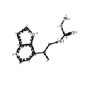 CC(CNC(=O)OC(C)(C)C)c1ccnc2ccoc12